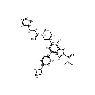 CN(C)C(=O)c1cc2c(F)c(C3=CCCN(C(=O)CCn4cccn4)C3)cc(-c3ccc(C4CNC4)cc3)c2o1